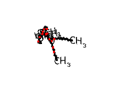 CCCCCCCCCCCCCCCC(=O)OC(CCCCCCCCCCCCCCC)CC(=O)N[C@@H](C(=O)N[C@H](CCC(=O)OCc1ccccc1)C(=O)OCc1ccccc1)C(C)C